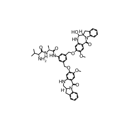 COc1cc2c(cc1OCc1cc(COc3cc4c(cc3OC)C(=O)N3c5ccccc5C[C@H]3C(O)N4)cc(NC(=O)[C@H](C)NC(=O)[C@@H](N)C(C)C)c1)NC[C@@H]1Cc3ccccc3N1C2=O